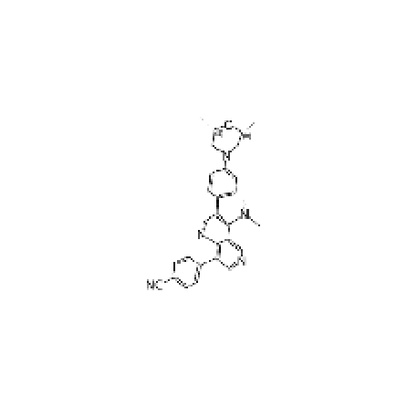 C[C@@H]1CN(c2ccc(-c3cnc4c(-c5ccc(C#N)cc5)cncc4c3N(C)C)cc2)C[C@H](C)O1